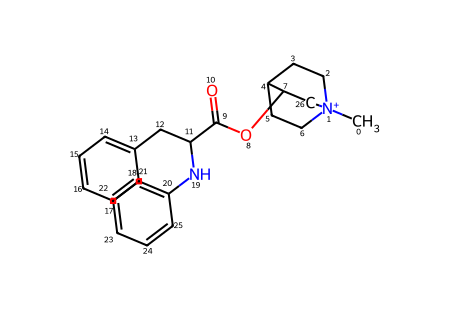 C[N+]12CCC(CC1)C(OC(=O)C(Cc1ccccc1)Nc1ccccc1)C2